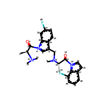 C[C@@H](C(=O)n1cc(CN(C)[C@@H](C)C(=O)n2ccc3cccc(F)c32)c2ccc(F)cc21)N(C)C